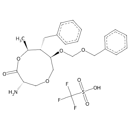 C[C@@H]1OC(=O)[C@@H](N)COC[C@H](OCOCc2ccccc2)[C@H]1Cc1ccccc1.O=S(=O)(O)C(F)(F)F